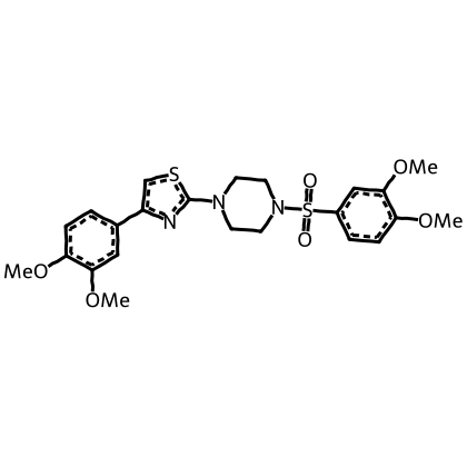 COc1ccc(-c2csc(N3CCN(S(=O)(=O)c4ccc(OC)c(OC)c4)CC3)n2)cc1OC